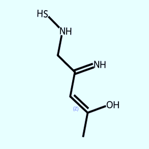 C/C(O)=C/C(=N)CNS